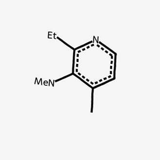 CCc1nccc(C)c1NC